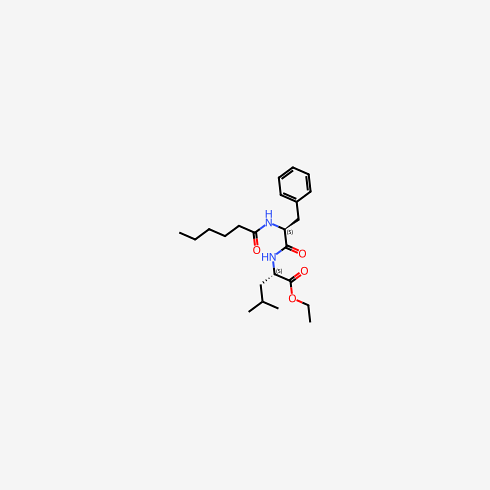 CCCCCC(=O)N[C@@H](Cc1ccccc1)C(=O)N[C@@H](CC(C)C)C(=O)OCC